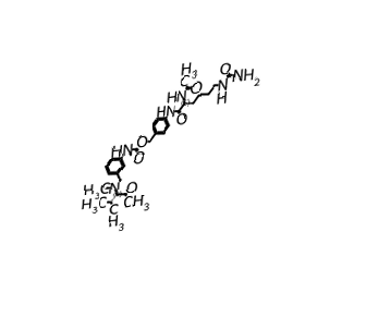 CC(=O)N[C@@H](CCCCNC(N)=O)C(=O)Nc1ccc(COC(=O)Nc2cccc(CN(C)[C@H](C(C)=O)C(C)C)c2)cc1